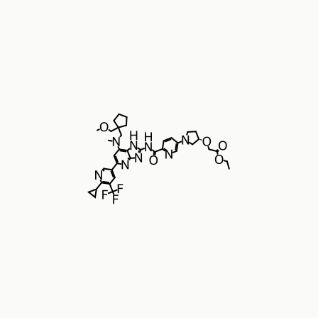 CCOC(=O)CO[C@H]1CCN(c2ccc(C(=O)Nc3nc4nc(-c5cnc(C6CC6)c(C(F)(F)F)c5)cc(N(C)CC5(COC)CCCC5)c4[nH]3)nc2)C1